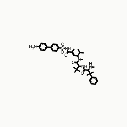 CNC(C(=O)NC(C(=O)N(C)C(/C=C(\C)C(=O)NS(=O)(=O)c1ccc(-c2ccc(N)cc2)cc1)C(C)C)C(C)(C)C)C(C)(C)c1ccccc1